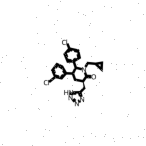 O=C1[C@@H](Cc2nnn[nH]2)CC(c2cccc(Cl)c2)C(c2ccc(Cl)cc2)N1CC1CC1